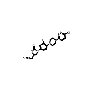 CC(=O)NCC1CN(c2ccc(N3CCN(c4ccc(Cl)nn4)CC3)c(F)c2)C(=O)O1